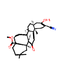 COC(=O)[C@]12CCC(C)(C)C[C@H]1[C@H]1C(=O)C=C3[C@@]4(C)CC(C#N)=C(O)C[C@@H]4CC[C@@]3(C)[C@]1(C)CC2